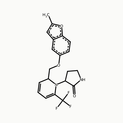 Cc1cc2cc(OCC3C=CC=C(C(F)(F)F)N3C3CCNC3=O)ccc2o1